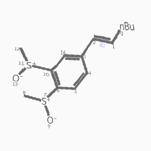 [CH2]CCC/C=C/c1ccc([S+](C)[O-])c([S+](C)[O-])c1